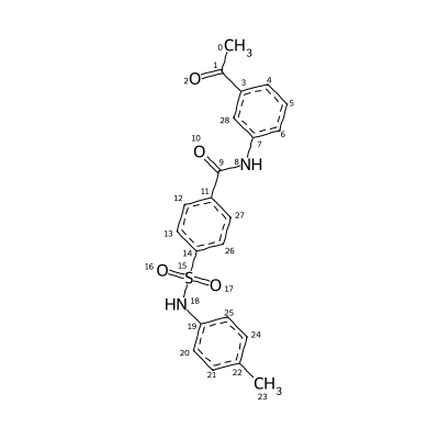 CC(=O)c1cccc(NC(=O)c2ccc(S(=O)(=O)Nc3ccc(C)cc3)cc2)c1